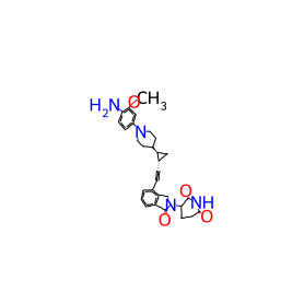 COc1cc(N2CCC([C@H]3C[C@@H]3C#Cc3cccc4c3CN(C3CCC(=O)NC3=O)C4=O)CC2)ccc1N